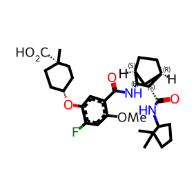 COc1cc(F)c(O[C@H]2CC[C@@](C)(C(=O)O)CC2)cc1C(=O)N[C@@H]1[C@H]2CC[C@H](C2)[C@@H]1C(=O)NC1CCCC1(C)C